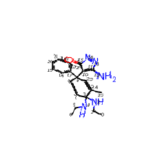 CCNC1(NCC)C=CC(C2=C(N)N=NC2=O)(c2ccccc2)C=C1C